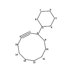 C1#CC(C2CCCCC2)CCCCCCC1